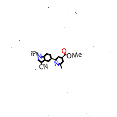 COC(=O)c1cc(C)nc(-c2ccc3c(c2)c(C#N)cn3C(C)C)c1